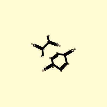 CC(=O)C(C)=O.O=C1C=CC(=O)C=C1